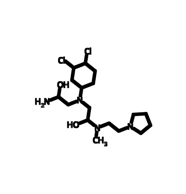 CN(CCN1CCCC1)C(O)CN(CC(N)O)C1CCC(Cl)C(Cl)C1